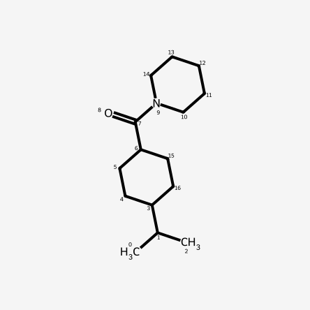 CC(C)C1CCC(C(=O)N2CCCCC2)CC1